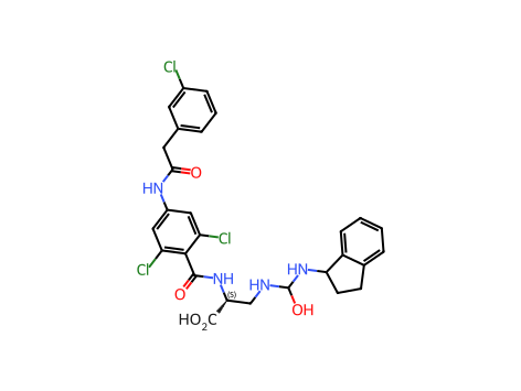 O=C(Cc1cccc(Cl)c1)Nc1cc(Cl)c(C(=O)N[C@@H](CNC(O)NC2CCc3ccccc32)C(=O)O)c(Cl)c1